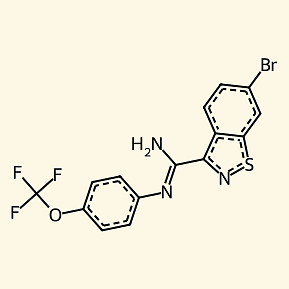 N/C(=N\c1ccc(OC(F)(F)F)cc1)c1nsc2cc(Br)ccc12